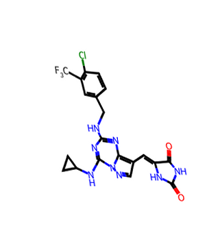 O=C1NC(=O)/C(=C/c2cnn3c(NC4CC4)nc(NCc4ccc(Cl)c(C(F)(F)F)c4)nc23)N1